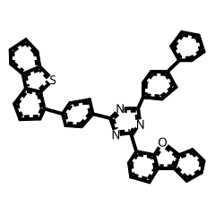 c1ccc(-c2ccc(-c3nc(-c4ccc(-c5cccc6c5sc5ccccc56)cc4)nc(-c4cccc5c4oc4ccccc45)n3)cc2)cc1